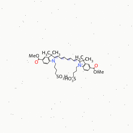 COC(=O)c1ccc2c(c1)C(C)(C)C(/C=C/C=C/C=C/C=C1\N(CCCCS(=O)(=O)O)c3ccc(C(=O)OC)cc3C1(C)C)=[N+]2CCCCS(=O)(=O)O